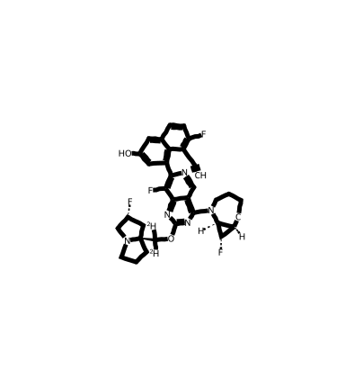 [2H]C([2H])(Oc1nc(N2CCCC[C@H]3[C@H](F)[C@H]32)c2cnc(-c3cc(O)cc4ccc(F)c(C#C)c34)c(F)c2n1)[C@@]12CCCN1C[C@H](F)C2